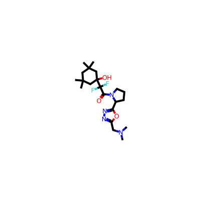 CN(C)Cc1nnc(C2CCCN2C(=O)C(F)(F)C2(O)CC(C)(C)CC(C)(C)C2)o1